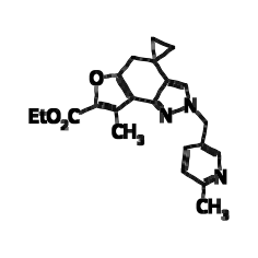 CCOC(=O)c1oc2c(c1C)-c1nn(Cc3ccc(C)nc3)cc1C1(CC1)C2